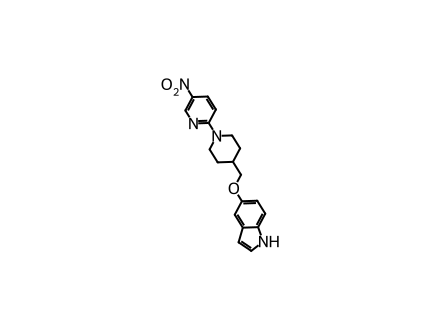 O=[N+]([O-])c1ccc(N2CCC(COc3ccc4[nH]ccc4c3)CC2)nc1